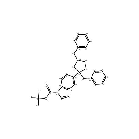 CC(C)(C)OC(=O)n1ccc2cc(C3(Cc4ccccc4)CCN(Cc4ccccc4)C3)ccc21